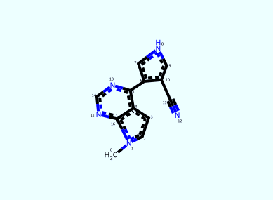 Cn1ccc2c(-c3c[nH]cc3C#N)ncnc21